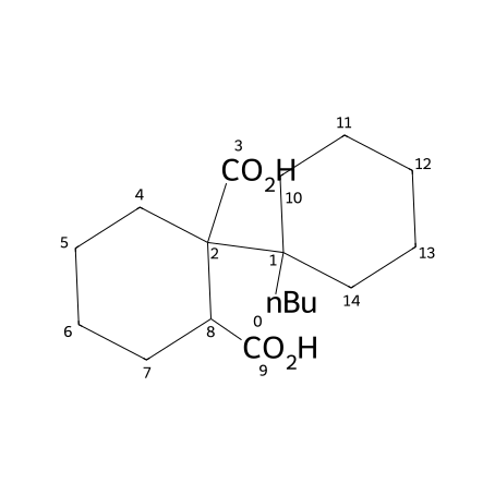 CCCCC1(C2(C(=O)O)CCCCC2C(=O)O)CCCCC1